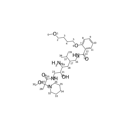 COCCCCOc1ccccc1C(=O)NCC(CC(N)C(O)CNC(=O)C(C)(OC)N1CCCCC1)C(C)C